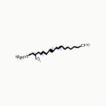 CCCCC/C=C(/C/C=C/C/C=C/C/C=C/CCCCC[C]=O)[N+](=O)[O-]